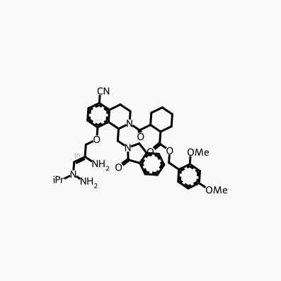 COc1ccc(COC(=O)C2CCCCC2C(=O)N2CCc3c(C#N)ccc(OC/C(N)=C/N(N)C(C)C)c3C2CN2Cc3ccccc3C2=O)c(OC)c1